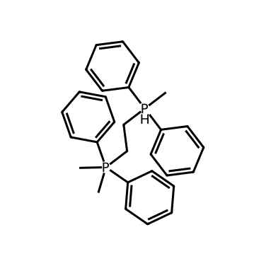 C[PH](CCP(C)(C)(c1ccccc1)c1ccccc1)(c1ccccc1)c1ccccc1